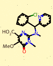 COc1c(C(=O)O)nc(N(C)C(c2ccccn2)c2ccccc2Cl)n(C)c1=O